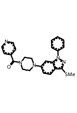 CSc1nn(-c2ccccc2)c2cc(N3CCN(C(=O)c4ccncc4)CC3)ccc12